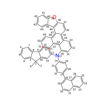 CC1(C)c2ccccc2-c2ccc(N(c3ccc(-c4cccc5ccccc45)cc3)c3cccc4c5ccc6oc7ccccc7c6c5c5ccccc5c34)cc21